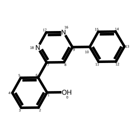 Oc1ccccc1-c1cc(-c2ccccc2)ncn1